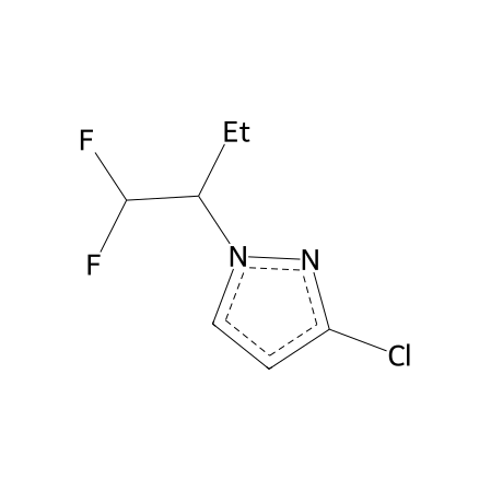 CCC(C(F)F)n1ccc(Cl)n1